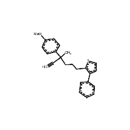 C#CC(C)(CCCc1sccc1-c1ccccc1)c1ccc(OC)cc1